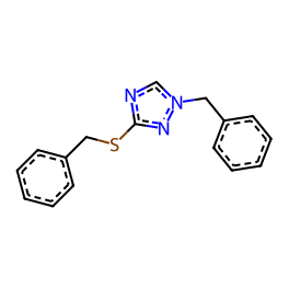 c1ccc(CSc2ncn(Cc3ccccc3)n2)cc1